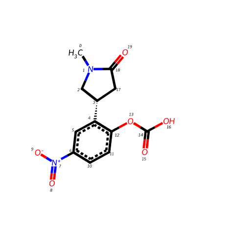 CN1C[C@@H](c2cc([N+](=O)[O-])ccc2OC(=O)O)CC1=O